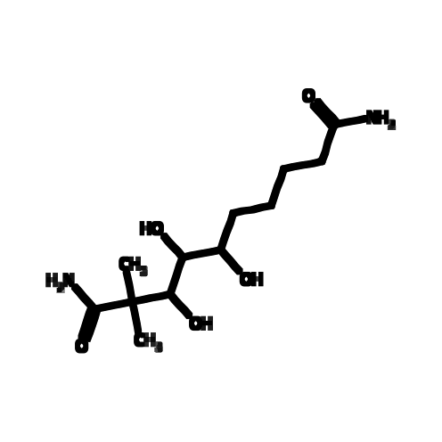 CC(C)(C(N)=O)C(O)C(O)C(O)CCCCC(N)=O